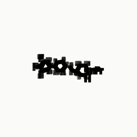 CCC[SiH]1CCC(CC[C@H]2CC[C@H](c3cc(F)c(F)c(F)c3)CC2)CC1